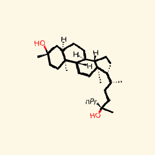 CCC[C@@](C)(O)CC[C@@H](C)[C@H]1CC[C@H]2[C@@H]3CC[C@@H]4C[C@@](C)(O)CC[C@]4(C)[C@H]3CC[C@]12C